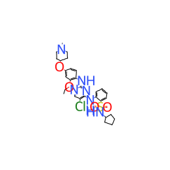 CCOc1cc(OC2CCN(C)CC2)ccc1Nc1ncc(Cl)c(Nc2ccccc2S(=O)(=O)NC2CCCC2)n1